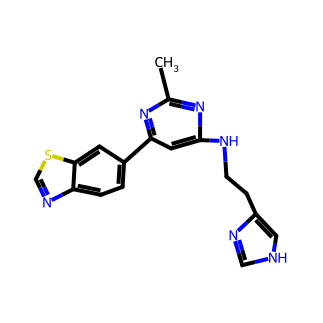 Cc1nc(NCCc2c[nH]cn2)cc(-c2ccc3ncsc3c2)n1